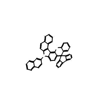 c1ccc2c(c1)Oc1c(ccc3c1c1c4ccccc4ccc1n3-c1ccc3ccccc3c1)C21c2ccccc2-c2ccccc21